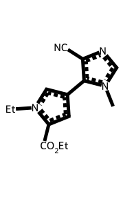 CCOC(=O)c1cc(-c2c(C#N)ncn2C)cn1CC